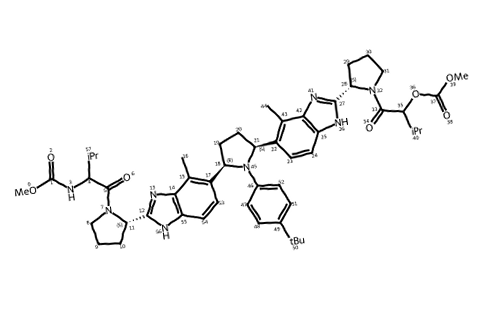 COC(=O)NC(C(=O)N1CCC[C@H]1c1nc2c(C)c([C@H]3CC[C@@H](c4ccc5[nH]c([C@@H]6CCCN6C(=O)C(OC(=O)OC)C(C)C)nc5c4C)N3c3ccc(C(C)(C)C)cc3)ccc2[nH]1)C(C)C